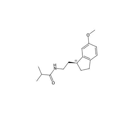 COc1ccc2c(c1)[C@H](CCNC(=O)C(C)C)CC2